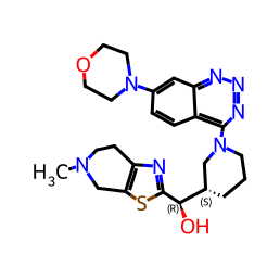 CN1CCc2nc([C@H](O)[C@H]3CCCN(c4nnnc5cc(N6CCOCC6)ccc45)C3)sc2C1